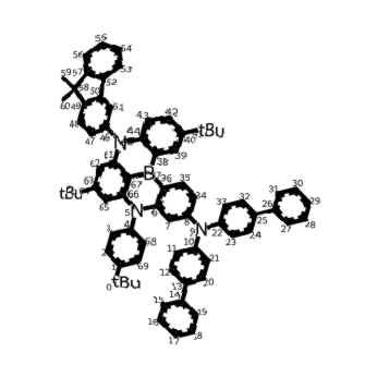 CC(C)(C)c1ccc(N2c3cc(N(c4ccc(-c5ccccc5)cc4)c4ccc(-c5ccccc5)cc4)ccc3B3c4cc(C(C)(C)C)ccc4N(c4ccc5c(c4)-c4ccccc4C5(C)C)c4cc(C(C)(C)C)cc2c43)cc1